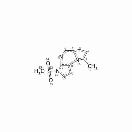 Cc1ccc2cnc3c(ccn3S(C)(=O)=O)n12